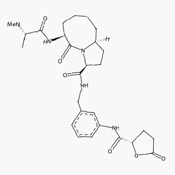 CN[C@@H](C)C(=O)N[C@H]1CCCC[C@H]2CC[C@@H](C(=O)NCc3cccc(NC(=O)[C@@H]4CCC(=O)O4)c3)N2C1=O